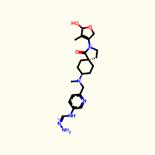 CC1=C(N2CC[C@]3(CC[C@H](N(C)Cc4ccc(N/C=N\N)cn4)CC3)C2=O)COC1O